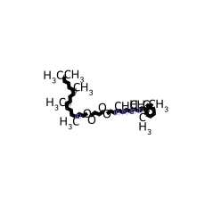 CC1=C(/C=C/C(C)=C/C=C/C(C)=C/COC(=O)CCC(=O)OC/C=C(\C)CCC[C@H](C)CCC[C@H](C)CCCC(C)C)C(C)(C)CCC1